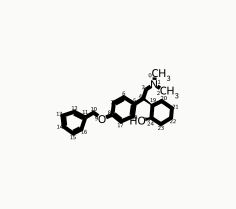 CN(C)CC(c1ccc(OCc2ccccc2)cc1)[C@H]1CCCC[C@H]1O